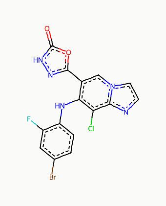 O=c1[nH]nc(-c2cn3ccnc3c(Cl)c2Nc2ccc(Br)cc2F)o1